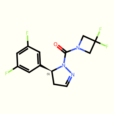 O=C(N1CC(F)(F)C1)N1N=CC[C@H]1c1cc(F)cc(F)c1